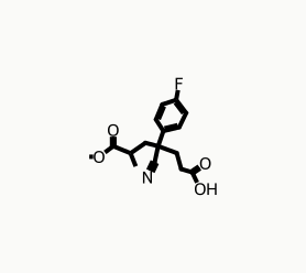 COC(=O)C(C)CC(C#N)(CCC(=O)O)c1ccc(F)cc1